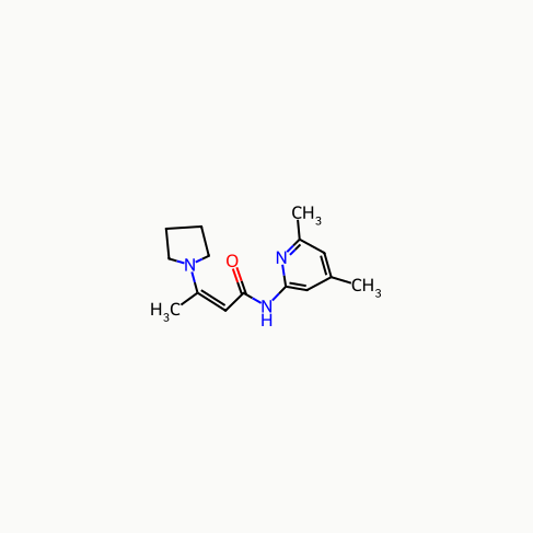 CC(=CC(=O)Nc1cc(C)cc(C)n1)N1CCCC1